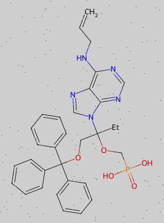 C=CCNc1ncnc2c1ncn2C(CC)(COC(c1ccccc1)(c1ccccc1)c1ccccc1)OCP(=O)(O)O